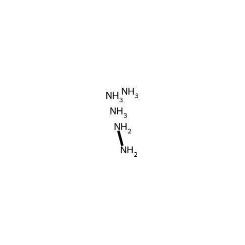 N.N.N.NN